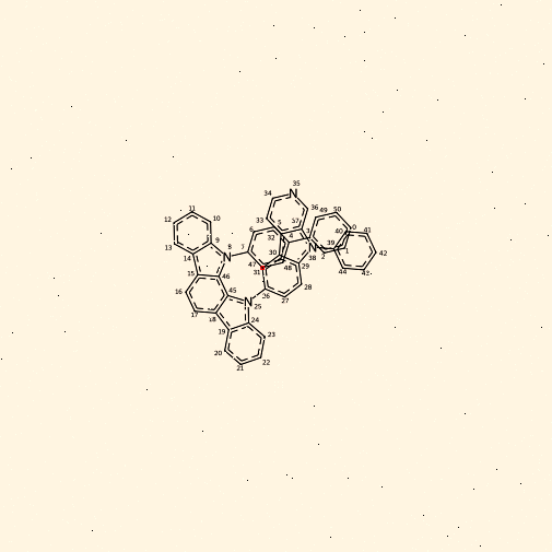 c1ccc(-c2ccc(-n3c4ccccc4c4ccc5c6ccccc6n(-c6ccc7c(c6)c6ccncc6n7-c6ccccc6)c5c43)cc2)cc1